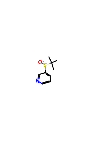 CC(C)(C)[S+]([O-])c1cccnc1